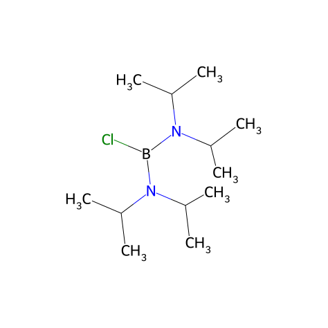 CC(C)N(B(Cl)N(C(C)C)C(C)C)C(C)C